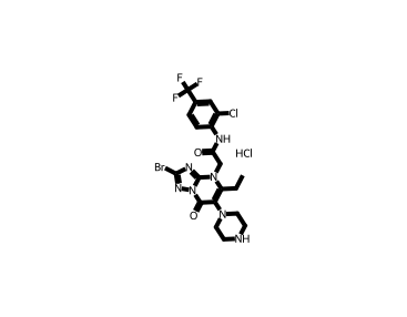 CCc1c(N2CCNCC2)c(=O)n2nc(Br)nc2n1CC(=O)Nc1ccc(C(F)(F)F)cc1Cl.Cl